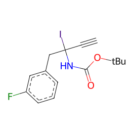 C#CC(I)(Cc1cccc(F)c1)NC(=O)OC(C)(C)C